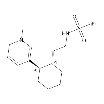 CC(C)S(=O)(=O)NCC[C@@H]1CCCC[C@H]1C1=CN(C)CC=C1